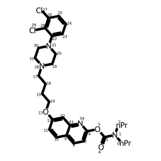 CCCN(CCC)C(=O)Oc1ccc2ccc(OCCCCN3CCN(c4cccc(Cl)c4Cl)CC3)cc2n1